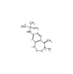 C=C1c2ccc(NC(C)(C)C=O)cc2OCCN1CC